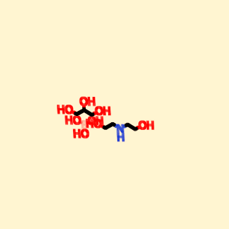 OB(O)O.OCC(O)CO.OCCNCCO